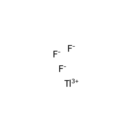 [F-].[F-].[F-].[Tl+3]